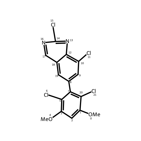 COc1cc(OC)c(Cl)c(-c2cc(Cl)c3nc(Cl)ncc3c2)c1Cl